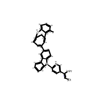 CC/C=C(\CCC)c1ccc(-n2c3ccccc3c3cc(C4=CC=C5CC(=C4)c4c(C)cccc4O5)ccc32)nc1